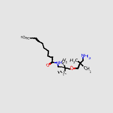 CCCCCCCCCCCCCCCCCC(=O)NCC(C)(C)COCC(C)(C)CN